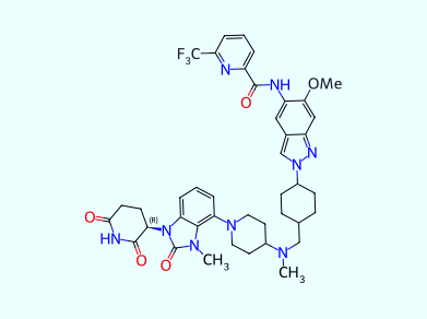 COc1cc2nn(C3CCC(CN(C)C4CCN(c5cccc6c5n(C)c(=O)n6[C@@H]5CCC(=O)NC5=O)CC4)CC3)cc2cc1NC(=O)c1cccc(C(F)(F)F)n1